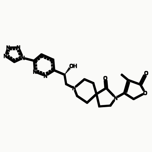 CC1=C(N2CCC3(CCN(C[C@@H](O)c4ccc(-n5cnnn5)nn4)CC3)C2=O)COC1=O